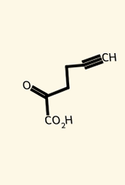 C#CCCC(=O)C(=O)O